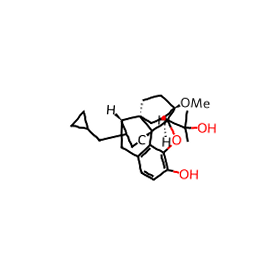 CO[C@]12CC[C@@]3(C[C@@H]1C(C)(C)O)[C@H]1Cc4ccc(O)c5c4[C@@]3(CCC1CC1CC1)[C@H]2O5